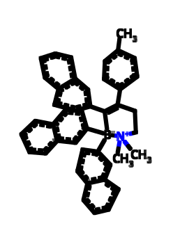 Cc1ccc(C2=C(c3ccc4ccccc4c3)[B-](c3ccc4ccccc4c3)(c3ccc4ccccc4c3)[N+](C)(C)CC2)cc1